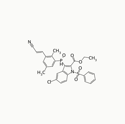 CCOC(=O)c1c([PH](=O)c2cc(C)cc(C=CC#N)c2C)c2cc(Cl)ccc2n1S(=O)(=O)c1ccccc1